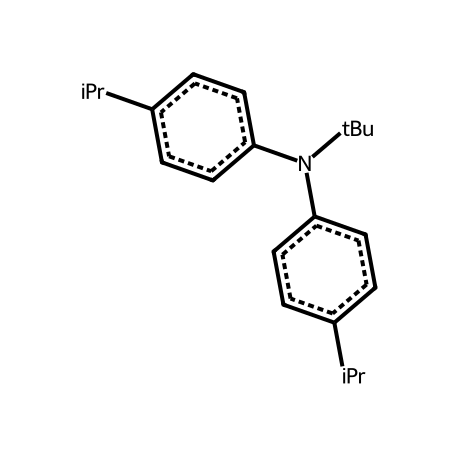 CC(C)c1ccc(N(c2ccc(C(C)C)cc2)C(C)(C)C)cc1